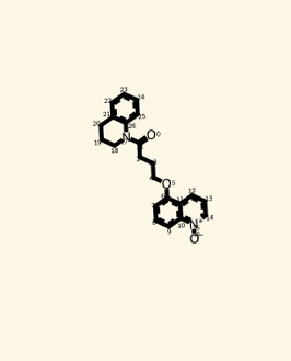 O=C(CCCOc1cccc2c1ccc[n+]2[O-])N1CCCc2ccccc21